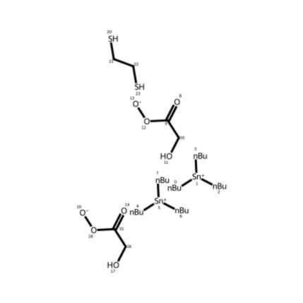 CCC[CH2][Sn+]([CH2]CCC)[CH2]CCC.CCC[CH2][Sn+]([CH2]CCC)[CH2]CCC.O=C(CO)O[O-].O=C(CO)O[O-].SCCS